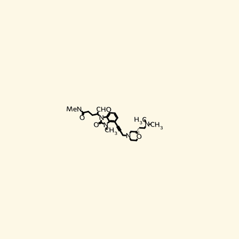 CNC(=O)CCC(C=O)n1c(=O)n(C)c2c(C#CCN3CCO[C@@H](CCN(C)C)C3)cccc21